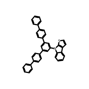 c1ccc(-c2ccc(-c3cc(-c4ccc(-c5ccccc5)cc4)cc(-n4c5ccccc5c5ccsc54)c3)cc2)cc1